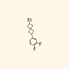 CCC1CC2(C1)CC(c1ccc(F)c(F)c1)C2